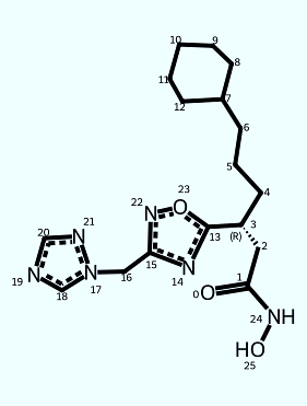 O=C(C[C@@H](CCCC1CCCCC1)c1nc(Cn2cncn2)no1)NO